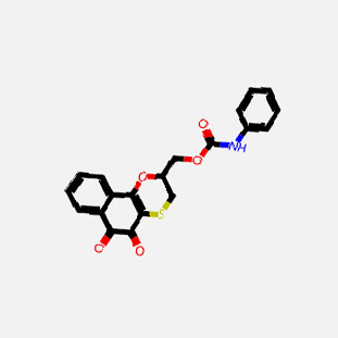 O=C(Nc1ccccc1)OCC1CSC2=C(O1)c1ccccc1C(=O)C2=O